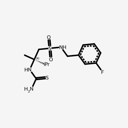 CC(C)[C@](C)(CS(=O)(=O)NCc1cccc(F)c1)NC(N)=S